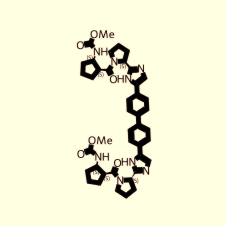 COC(=O)N[C@H]1CCC[C@@H]1C(=O)N1CCC[C@H]1c1ncc(-c2ccc(-c3ccc(-c4cnc([C@@H]5CCCN5C(=O)[C@H]5CCC[C@@H]5NC(=O)OC)[nH]4)cc3)cc2)[nH]1